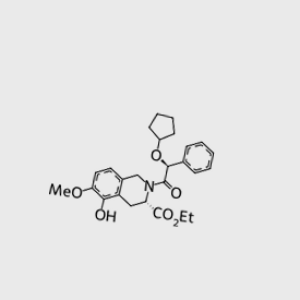 CCOC(=O)[C@@H]1Cc2c(ccc(OC)c2O)CN1C(=O)[C@@H](OC1CCCC1)c1ccccc1